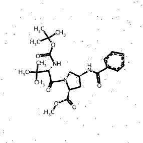 COC(=O)[C@@H]1C[C@H](NC(=O)c2ccccc2)CN1C(=O)[C@@H](NC(=O)OC(C)(C)C)C(C)(C)C